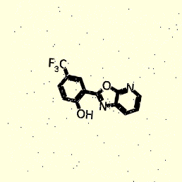 Oc1ccc(C(F)(F)F)cc1-c1nc2cccnc2o1